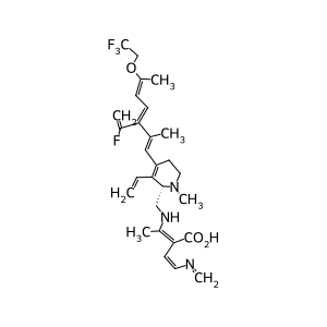 C=CC1=C(/C=C(C)/C(=C/C=C(\C)OCC(F)(F)F)C(=C)F)CCN(C)[C@@H]1CN/C(C)=C(/C=C\N=C)C(=O)O